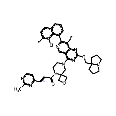 Cc1nccc(/C=C/C(=O)N2CCN(c3nc(OCC45CCCN4CCC5)nc4c(F)c(-c5cccc6ccc(F)c(Cl)c56)ncc34)CC23COC3)n1